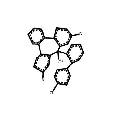 OC1(c2ccccc2-c2ccc(Cl)cc2)c2cc(Br)ccc2-c2ccccc2-c2ccc(Br)cc21